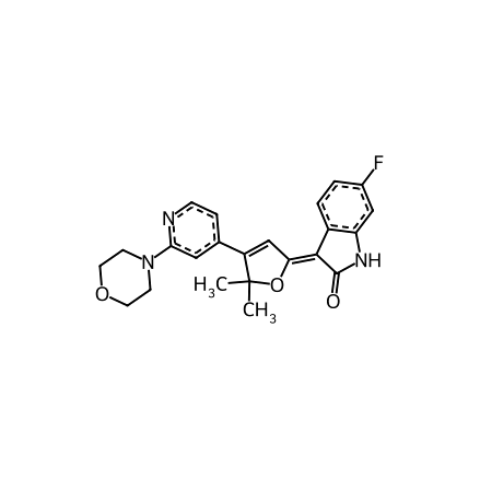 CC1(C)OC(=C2C(=O)Nc3cc(F)ccc32)C=C1c1ccnc(N2CCOCC2)c1